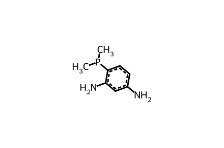 CP(C)c1ccc(N)cc1N